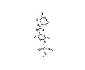 CNC(=O)[C@@H](N)CSc1nc(OC)c(NS(=O)(=O)c2cccc(Cl)c2Cl)nc1Cl